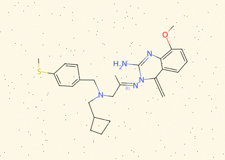 C=C1c2cccc(OC)c2N=C(N)N1/N=C(\C)CN(Cc1ccc(SC)cc1)CC1CCC1